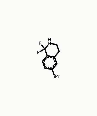 CC(C)c1ccc2c(c1)CCNC2(F)F